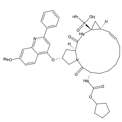 CCCP(=O)(O)[C@@]12C[C@H]1/C=C\CCCCC[C@H](NC(=O)OC1CCCC1)C(=O)N1C[C@H](Oc3cc(-c4ccccc4)nc4cc(OC)ccc34)C[C@H]1C(=O)N2